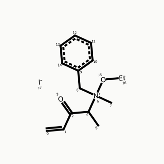 C=CC(=O)C(C)[N+](C)(Cc1ccccc1)OCC.[I-]